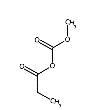 CCC(=O)OC(=O)OC